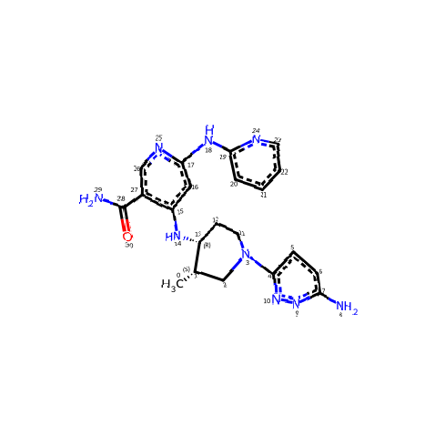 C[C@H]1CN(c2ccc(N)nn2)CC[C@H]1Nc1cc(Nc2ccccn2)ncc1C(N)=O